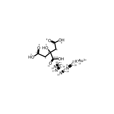 O=C(O)CC(O)(CC(=O)O)C(=O)O.[Au+3].[C-]#N.[C-]#N.[C-]#N.[C-]#N.[K+]